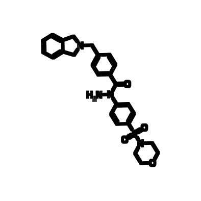 NN(C(=O)c1ccc(CN2Cc3ccccc3C2)cc1)c1ccc(S(=O)(=O)N2CCOCC2)cc1